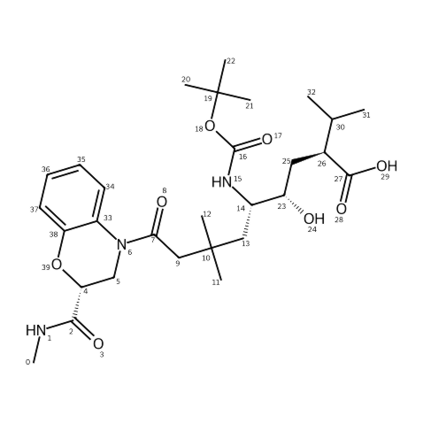 CNC(=O)[C@H]1CN(C(=O)CC(C)(C)C[C@H](NC(=O)OC(C)(C)C)[C@@H](O)C[C@H](C(=O)O)C(C)C)c2ccccc2O1